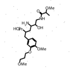 COCCCOc1cc(CC(CC(N)C(O)CNC(=O)C(C)OC)C(C)C)ccc1OC.Cl